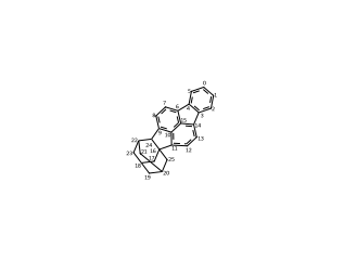 c1ccc2c(c1)-c1ccc3c4c(ccc-2c14)C12CC4CC(CC(C4)C31)C2